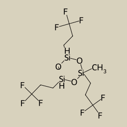 C[Si]1(CCC(F)(F)F)O[SiH](CCC(F)(F)F)O[SiH](CCC(F)(F)F)O1